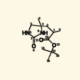 CC(CC1(C)CNC(=O)N1)C(=O)OC(C)(C)C